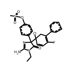 CCN1C(=O)C(c2ccc(OS(C)(=O)=O)cc2)(C2(Cl)C=CC(F)=C(c3ccccc3)C2)N=C1N